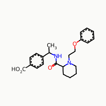 CC(NC(=O)C1CCCCN1CCOc1ccccc1)c1ccc(C(=O)O)cc1